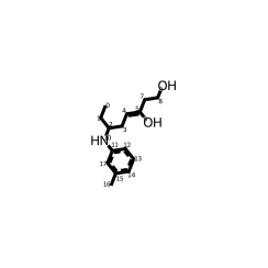 CCC(C/C=C(\O)CCO)Nc1cccc(C)c1